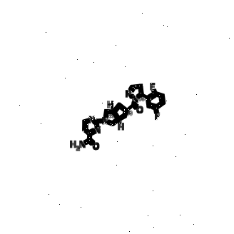 NC(=O)c1ccnc(N2C[C@H]3C[C@@H](C(=O)N4N=CC[C@H]4c4cc(F)ccc4F)C[C@H]3C2)n1